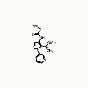 CO[C@@H](C)c1c(NC(=O)OC(C)(C)C)cnn1-c1cccnc1